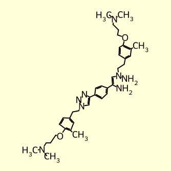 Cc1cc(CCN(N)/C=C(\N)c2ccc(-c3cn(CCc4ccc(OCCCN(C)C)c(C)c4)nn3)cc2)ccc1OCCCN(C)C